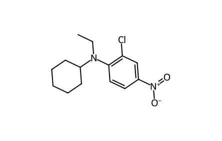 CCN(c1ccc([N+](=O)[O-])cc1Cl)C1CCCCC1